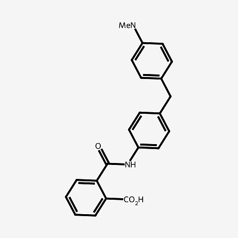 CNc1ccc(Cc2ccc(NC(=O)c3ccccc3C(=O)O)cc2)cc1